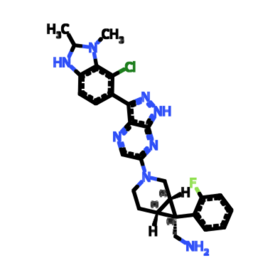 CC1Nc2ccc(-c3n[nH]c4nc(N5CC[C@@H]6[C@H](C5)[C@@]6(CN)c5ccccc5F)cnc34)c(Cl)c2N1C